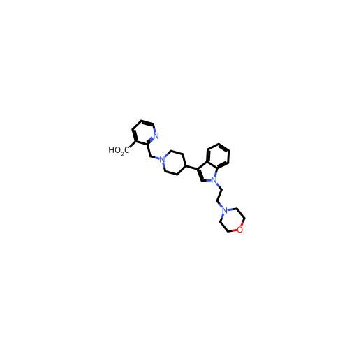 O=C(O)c1cccnc1CN1CCC(c2cn(CCN3CCOCC3)c3ccccc23)CC1